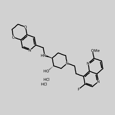 COc1ccc2ncc(F)c(CCN3CC[C@H](NCc4cc5c(cn4)OCCO5)[C@@H](O)C3)c2n1.Cl.Cl